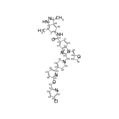 Cc1n[nH]c2c(C)cc(NC(=O)c3ccc4c(c3)nc(CN3CC=C(c5cccc(OCc6ccc(Cl)cn6)n5)CC3)n4C[C@@H]3CCO3)cc12